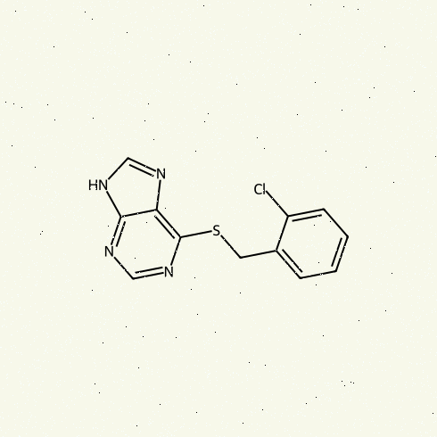 Clc1ccccc1CSc1ncnc2[nH]cnc12